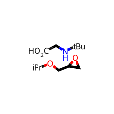 CC(C)(C)NCC(=O)O.CC(C)OCC1CO1